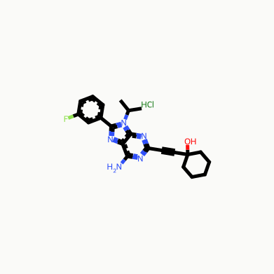 CC(C)n1c(-c2cccc(F)c2)nc2c(N)nc(C#CC3(O)CCCCC3)nc21.Cl